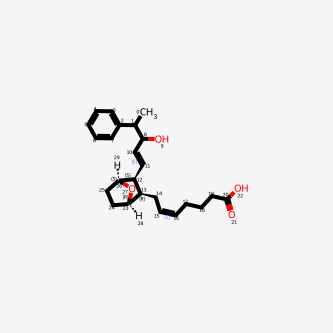 CC(c1ccccc1)C(O)/C=C/[C@H]1[C@@H](C/C=C\CCCC(=O)O)[C@H]2CC[C@@H]1O2